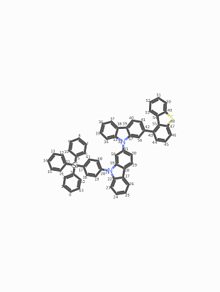 c1ccc([Si](c2ccccc2)(c2ccccc2)c2ccc(-n3c4ccccc4c4ccc(-n5c6ccccc6c6ccc(-c7cccc8sc9ccccc9c78)cc65)cc43)cc2)cc1